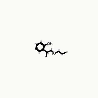 CCCOCC(C)c1ccccc1O